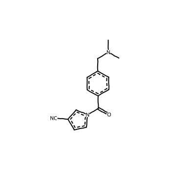 CN(C)Cc1ccc(C(=O)n2ccc(C#N)c2)cc1